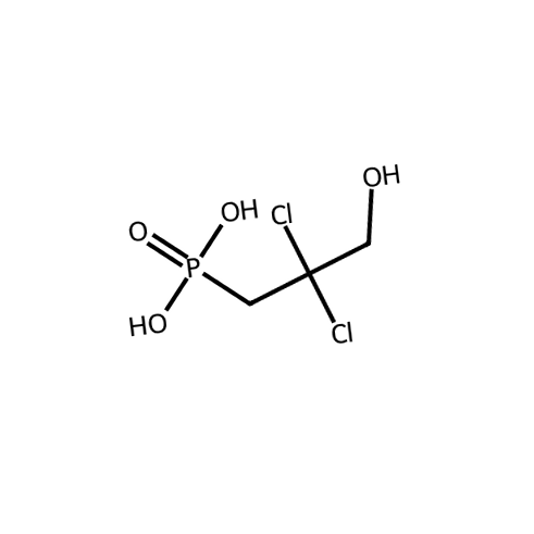 O=P(O)(O)CC(Cl)(Cl)CO